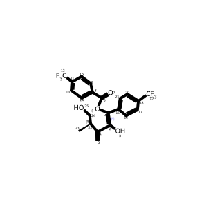 C=C(/C(O)=C(\OC(=O)c1ccc(C(F)(F)F)cc1)c1ccc(C(F)(F)F)cc1)[C@@H](C)CO